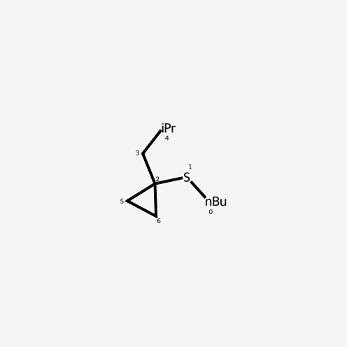 CCCCSC1(CC(C)C)CC1